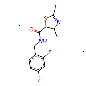 CC1N=C(I)SC1C(=O)NCc1ccc(F)cc1F